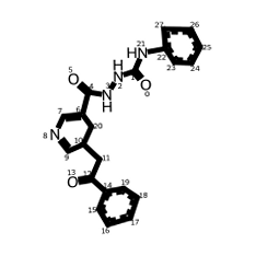 O=C(NNC(=O)C1=CN=CC(CC(=O)c2ccccc2)C1)Nc1ccccc1